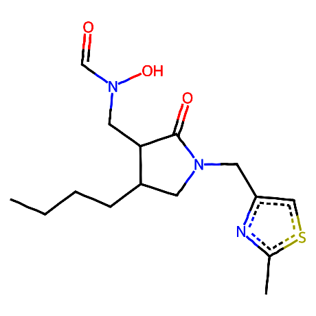 CCCCC1CN(Cc2csc(C)n2)C(=O)C1CN(O)C=O